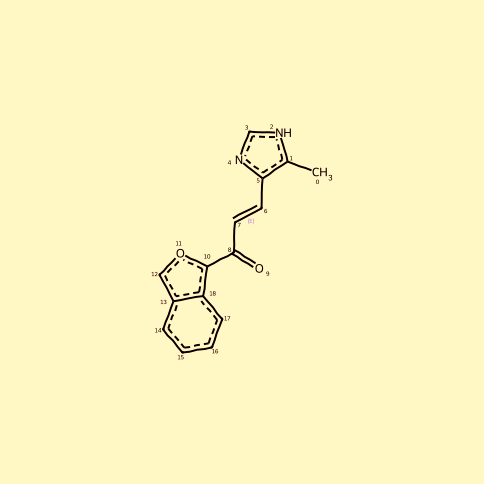 Cc1[nH]cnc1/C=C/C(=O)c1occ2ccccc12